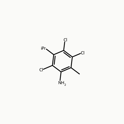 Cc1c(N)c(Cl)c(C(C)C)c(Cl)c1Cl